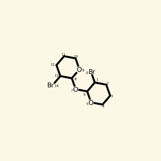 BrC1CCCOC1OC1OCCCC1Br